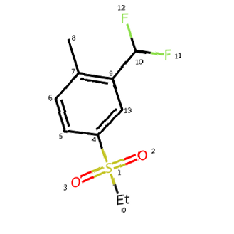 CCS(=O)(=O)c1ccc(C)c(C(F)F)c1